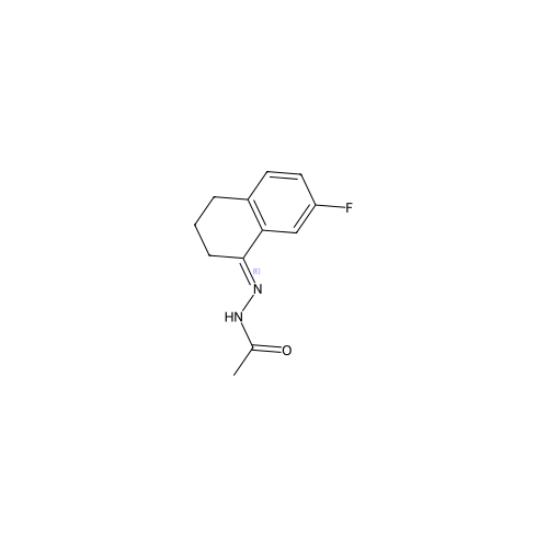 CC(=O)N/N=C1\CCCc2ccc(F)cc21